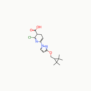 CC1(C)C(COc2ccn(C3=CCC(C(=O)O)C(Cl)=N3)n2)C1(C)C